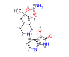 CC(C)(CC1CCN(c2ccnc3c2C(=O)C(=O)N3)CC1)OC(N)=O